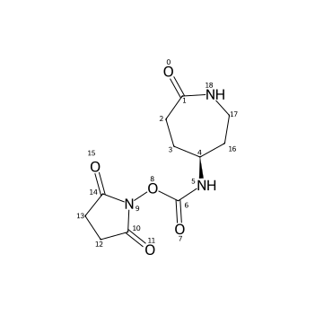 O=C1CC[C@H](NC(=O)ON2C(=O)CCC2=O)CCN1